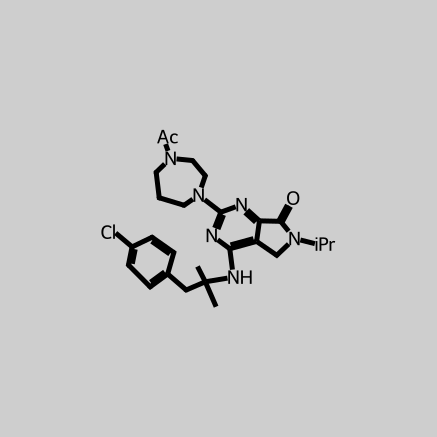 CC(=O)N1CCCN(c2nc(NC(C)(C)Cc3ccc(Cl)cc3)c3c(n2)C(=O)N(C(C)C)C3)CC1